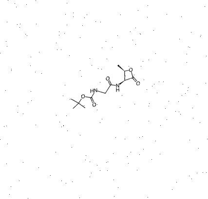 C[C@H]1OC(=O)[C@H]1NC(=O)CNC(=O)OC(C)(C)C